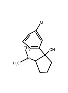 CN(C)C1CCCC1(O)c1cccc(Cl)c1